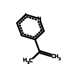 C=C(C)c1cc[c]nc1